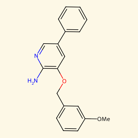 COc1cccc(COc2cc(-c3ccccc3)cnc2N)c1